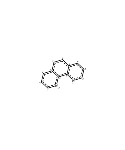 [c]1ccnc2c1c[c]c1cccnc12